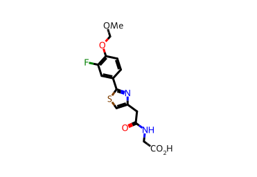 COCOc1ccc(-c2nc(CC(=O)NCC(=O)O)cs2)cc1F